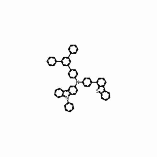 c1ccc(-c2cc(-c3ccccc3)cc(-c3ccc(N(c4ccc(-c5cccc6c5sc5ccccc56)cc4)c4ccc5c(c4)c4ccccc4n5-c4ccccc4)cc3)c2)cc1